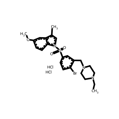 CCN1CCN(Cc2cc(S(=O)(=O)n3cc(C)c4cc(OC)ccc43)ccc2Br)CC1.Cl.Cl